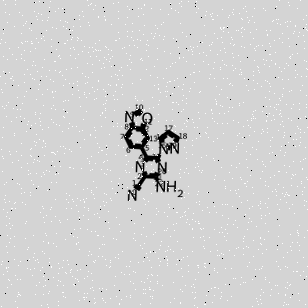 N#Cc1nc(-c2ccc3ncoc3c2)c(-n2cccn2)nc1N